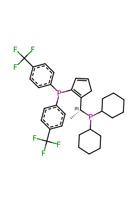 C[C@H](C1=C(P(c2ccc(C(F)(F)F)cc2)c2ccc(C(F)(F)F)cc2)C=CC1)P(C1CCCCC1)C1CCCCC1